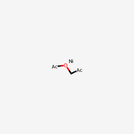 CC(=O)COC(C)=O.[Ni]